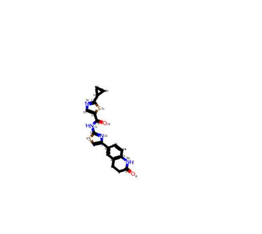 O=C1CCc2cc(-c3csc(NC(=O)c4cnc(C5CC5)s4)n3)ccc2N1